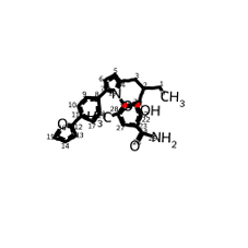 CCC(Cc1ccc(-c2ccc(-c3ccco3)cc2)n1-c1ccc(C(N)=O)cc1C)C(=O)O